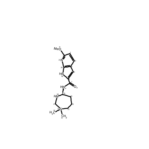 COc1ccc2cc(C(=O)N[C@H]3CCC[Si](C)(C)CN3)[nH]c2n1